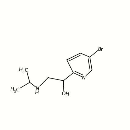 CC(C)NCC(O)c1ccc(Br)cn1